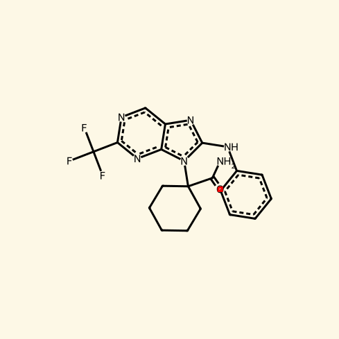 NC(=O)C1(n2c(Nc3ccccc3)nc3cnc(C(F)(F)F)nc32)CCCCC1